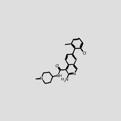 Cc1cccc(Cl)c1-c1ccc2c(C(=O)NC3CCN(C)CC3)c(N)ncc2c1